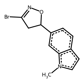 Cn1ccc2ccc(C3CC(Br)=NO3)cc21